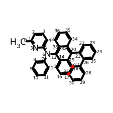 Cc1cccc(N(c2ccccc2)c2c3ccccc3c(-c3ccccc3-c3ccccc3)c3ccccc23)n1